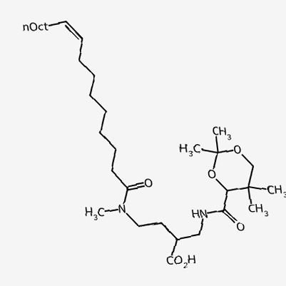 CCCCCCCC/C=C\CCCCCCCC(=O)N(C)CCC(CNC(=O)C1OC(C)(C)OCC1(C)C)C(=O)O